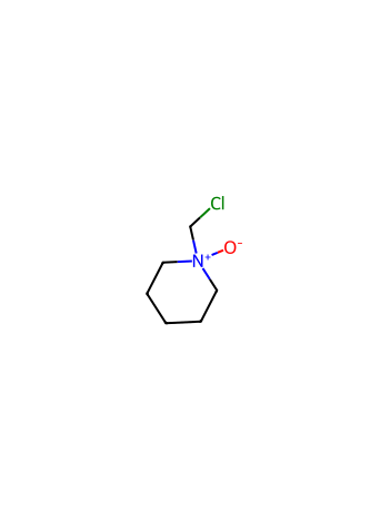 [O-][N+]1(CCl)CCCCC1